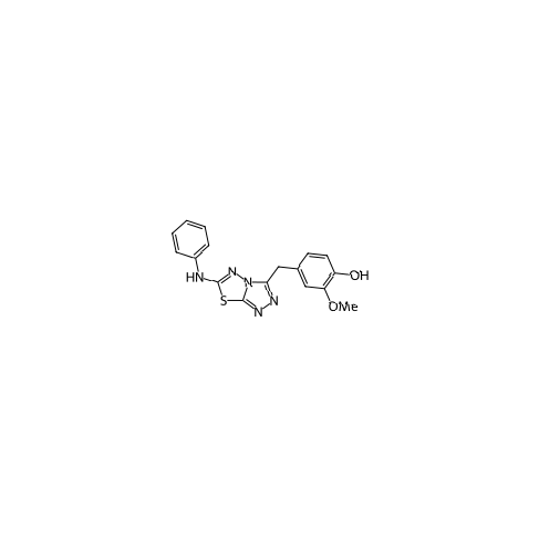 COc1cc(Cc2nnc3sc(Nc4ccccc4)nn23)ccc1O